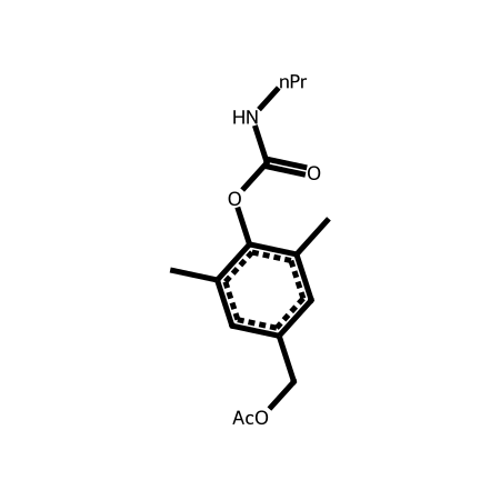 CCCNC(=O)Oc1c(C)cc(COC(C)=O)cc1C